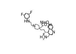 COc1ccc2ncc(CN)c([C@H](F)CCC3(CC(=O)O)CCN(CCNc4cc(F)cc(F)c4)CC3)c2c1